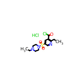 CCc1ncc(S(=O)(=O)N2CCN(CC)CC2)cc1C(=O)Cl.Cl